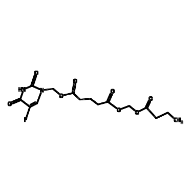 CCCC(=O)OCOC(=O)CCCC(=O)OCn1cc(F)c(=O)[nH]c1=O